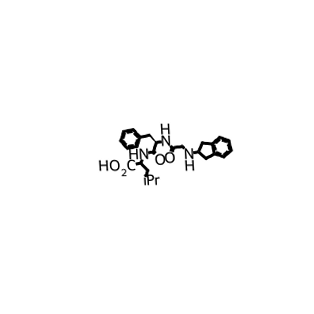 CC(C)CC(NC(=O)[C@@H](Cc1ccccc1)NC(=O)CNC1Cc2ccccc2C1)C(=O)O